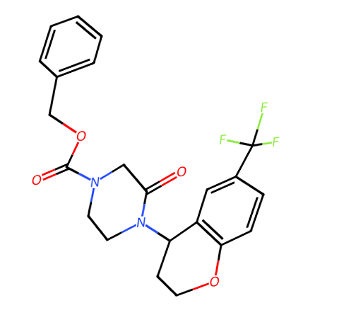 O=C(OCc1ccccc1)N1CCN(C2CCOc3ccc(C(F)(F)F)cc32)C(=O)C1